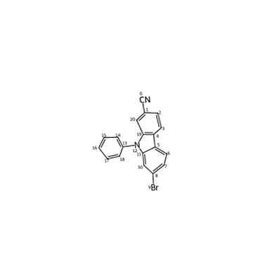 N#Cc1ccc2c3ccc(Br)cc3n(-c3ccccc3)c2c1